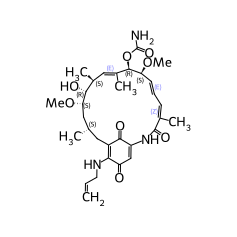 C=CCNC1=C2C[C@H](C)C[C@H](OC)[C@H](O)[C@@H](C)/C=C(\C)[C@@H](OC(N)=O)[C@@H](OC)/C=C/C=C(/C)C(=O)NC(=CC1=O)C2=O